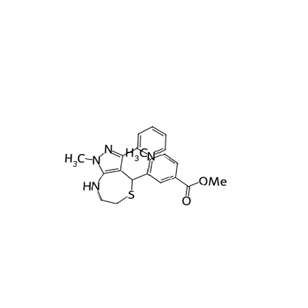 COC(=O)c1ccc(C)c(C2SCCNc3c2c(-c2ccccn2)nn3C)c1